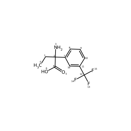 CCC(N)(C(=O)O)c1cccc(C(F)(F)F)c1